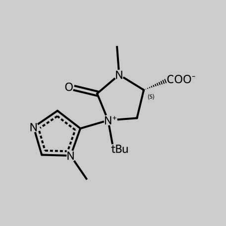 CN1C(=O)[N+](c2cncn2C)(C(C)(C)C)C[C@H]1C(=O)[O-]